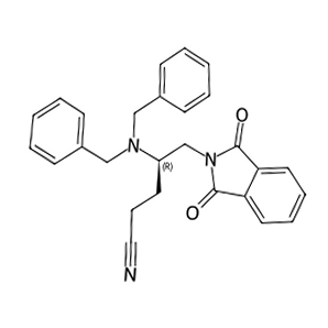 N#CCC[C@H](CN1C(=O)c2ccccc2C1=O)N(Cc1ccccc1)Cc1ccccc1